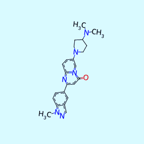 CN(C)C1CCN(c2ccc3nc(-c4ccc5c(cnn5C)c4)cc(=O)n3c2)CC1